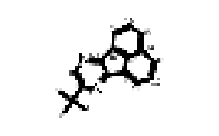 CC(C)(C)c1cnc2c(n1)-c1cccc3cccc-2c13